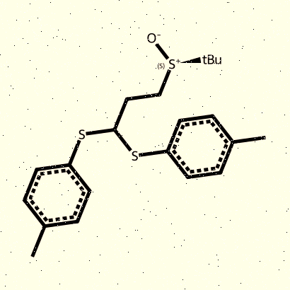 Cc1ccc(SC(CC[S@@+]([O-])C(C)(C)C)Sc2ccc(C)cc2)cc1